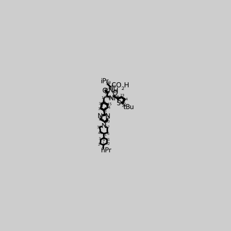 CCCC1CCC(C2CCN(c3cnc(-c4ccc(C[C@H](NC(=O)c5ccc(C(C)(C)C)s5)C(=O)N[C@H](CC(C)C)C(=O)O)cc4)nc3)CC2)CC1